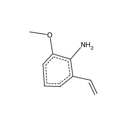 C=Cc1cccc(OC)c1N